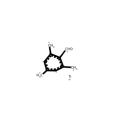 Cc1cc(C)c([C]=O)c(C)c1.[Ti]